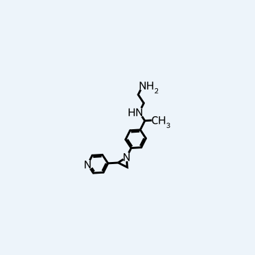 CC(NCCN)c1ccc(N2CC2c2ccncc2)cc1